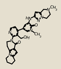 CN1CCn2nc(Nc3cc(-c4ccnc(N5CCc6c(cc7n6CCCC7)C5=O)c4CO)cn(C)c3=O)cc2C1